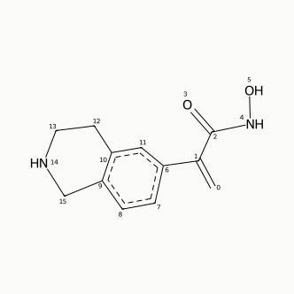 C=C(C(=O)NO)c1ccc2c(c1)CCNC2